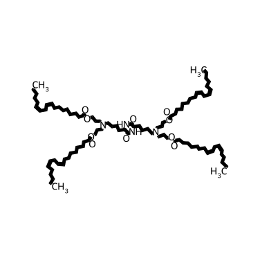 CCCCC/C=C\C/C=C\CCCCCCCC(=O)OCCCN(CCCCC1NC(=O)C(CCCCN(CCCOC(=O)CCCCCCC/C=C\C/C=C\CCCCC)CCCOC(=O)CCCCCCC/C=C\C/C=C\CCCCC)NC1=O)CCCOC(=O)CCCCCCC/C=C\C/C=C\CCCCC